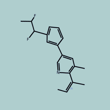 C/C=C(/C)c1ncc(-c2cccc(C(F)C(C)F)c2)cc1C